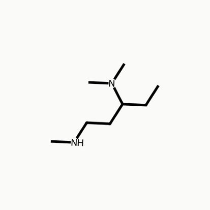 CCC(CCNC)N(C)C